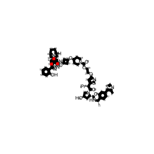 Cc1ncsc1-c1ccc([C@H](C)NC(=O)[C@@H]2C[C@@H](O)CN2C(=O)[C@@H](c2cc(OCCOC(=O)N3CCC(OC4CC(Oc5cc(N6C7CC[C@@H]6CN(c6cc(-c8ccccc8O)nnc6N)C7)ccn5)C4)CC3)no2)C(C)C)cc1